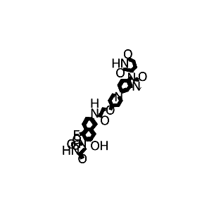 Cn1c(=O)n(C2CCC(=O)NC2=O)c2ccc(N3CCC(OCC(=O)Nc4ccc5c(F)c(N6CC(=O)NS6(=O)=O)c(O)cc5c4)CC3)cc21